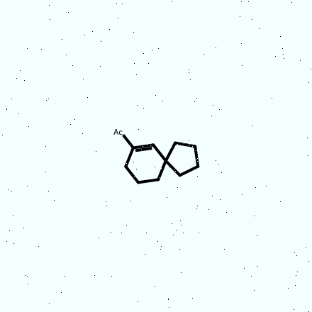 CC(=O)C1=CC2(CCCC2)CCC1